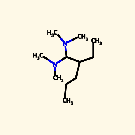 CCCC(CC)C(N(C)C)N(C)C